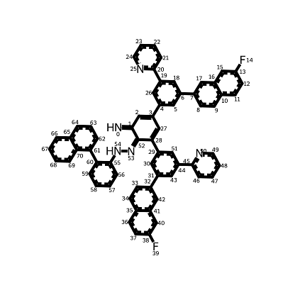 N=C1C=C(c2cc(-c3ccc4ccc(F)cc4c3)cc(-c3ccccn3)c2)C=C(c2cc(-c3ccc4ccc(F)cc4c3)cc(-c3ccccn3)c2)/C1=N/Nc1ccccc1-c1cccc2ccccc12